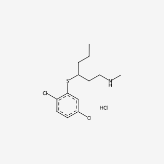 CCCC(CCNC)Sc1cc(Cl)ccc1Cl.Cl